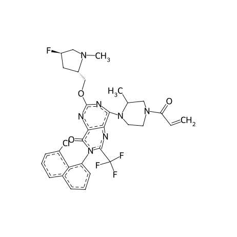 C=CC(=O)N1CCN(c2nc(OC[C@@H]3C[C@@H](F)CN3C)nc3c(=O)n(-c4cccc5cccc(Cl)c45)c(C(F)(F)F)nc23)C(C)C1